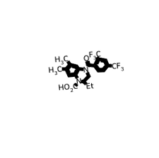 CCC1CN(C(=O)c2ccc(C(F)(F)F)cc2C(F)(F)F)c2cc(C)c(C)cc2N1C(=O)O